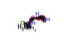 Cc1sc2c(c1C)C(c1ccc(Cl)cc1)=NC(CC(=O)NCCCN1CCN(C(=O)CCCCCNC(=O)COc3cccc4c3C(=O)N(C3CCC(=O)NC3=O)C4=O)CC1)c1nnc(C)n1-2